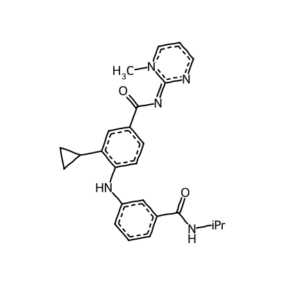 CC(C)NC(=O)c1cccc(Nc2ccc(C(=O)N=c3ncccn3C)cc2C2CC2)c1